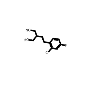 N#CCC(CO)CCc1ccc(F)cc1Cl